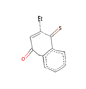 CCC1=CC(=O)c2ccccc2C1=S